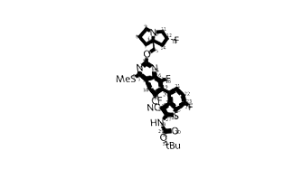 CSc1nc(OC[C@@]23CCCN2C[C@H](F)C3)nc2c(F)c(-c3ccc(F)c4sc(NC(=O)OC(C)(C)C)c(C#N)c34)c(C(F)(F)F)cc12